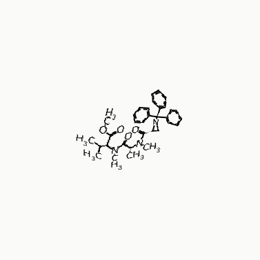 COC(=O)[C@H](C(C)C)N(C)C(=O)[C@@H](C)N(C)C(=O)[C@H]1CN1C(c1ccccc1)(c1ccccc1)c1ccccc1